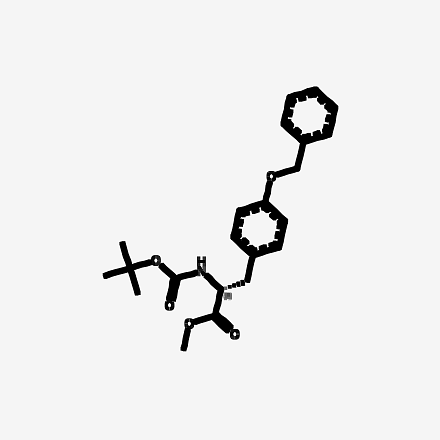 COC(=O)[C@@H](Cc1ccc(OCc2ccccc2)cc1)NC(=O)OC(C)(C)C